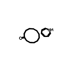 C1=CC=CNC=C1.O=C1CCCCCCCCCCC1